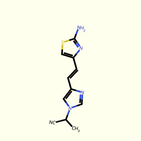 CC(C#N)n1cnc(/C=C/c2csc(N)n2)c1